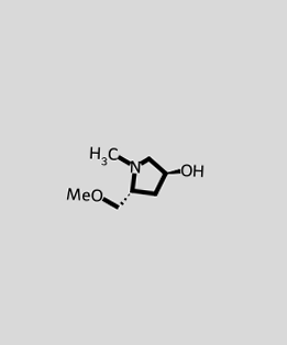 COC[C@H]1C[C@H](O)CN1C